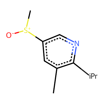 Cc1cc([S+](C)[O-])cnc1C(C)C